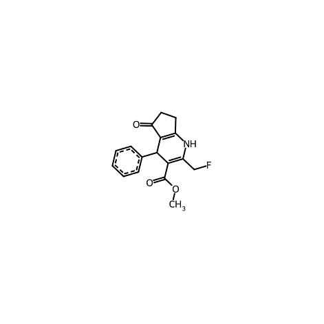 COC(=O)C1=C(CF)NC2=C(C(=O)CC2)C1c1ccccc1